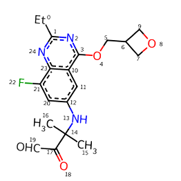 CCc1nc(OCC2COC2)c2cc(NC(C)(C)C(=O)C=O)cc(F)c2n1